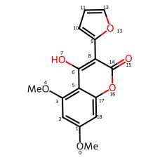 COc1cc(OC)c2c(O)c(-c3ccco3)c(=O)oc2c1